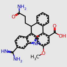 COc1ccc(-c2ccccc2C(CCC(N)=O)c2c[nH]c3cc(C(=N)N)ccc23)c(C(=O)O)c1